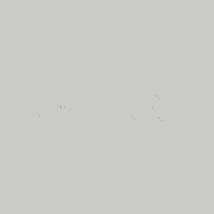 CCCN(CCC)n1nc(C(F)(F)F)cc1N(C)C(=O)C(C)c1ccc(C(=O)Nc2ccccn2)cc1